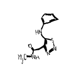 CNC(=O)c1nnsc1Nc1ccccc1